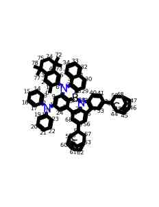 Cc1cc2c(cc1N1c3cc(N(c4ccccc4)c4ccccc4)cc4c3B(c3ccc5ccccc5c31)n1c3ccc(C56CCC7CC(CC7C5)C6)cc3c3cc(C56CCC7CC(CC7C5)C6)cc-4c31)C(C)(C)CCC2(C)C